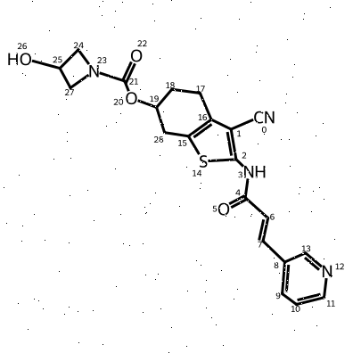 N#Cc1c(NC(=O)C=Cc2cccnc2)sc2c1CCC(OC(=O)N1CC(O)C1)C2